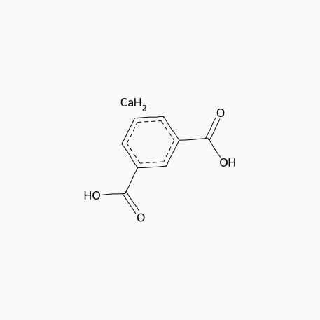 O=C(O)c1cccc(C(=O)O)c1.[CaH2]